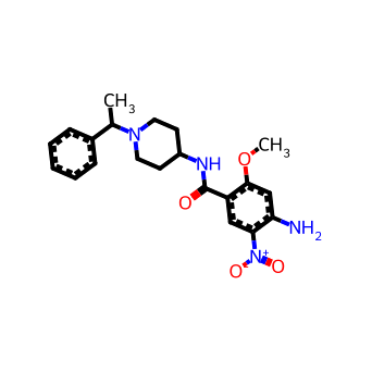 COc1cc(N)c([N+](=O)[O-])cc1C(=O)NC1CCN(C(C)c2ccccc2)CC1